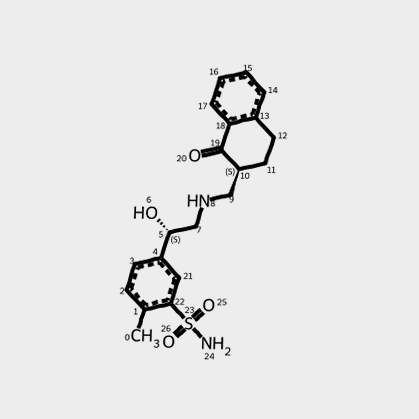 Cc1ccc([C@H](O)CNC[C@@H]2CCc3ccccc3C2=O)cc1S(N)(=O)=O